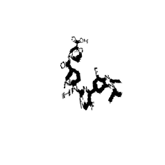 Cc1nc2c(F)cc(-c3nc(Nc4ccc(C(=O)N5CCO[C@H](C(=O)O)C5)cn4)ncc3F)cc2n1C(C)C